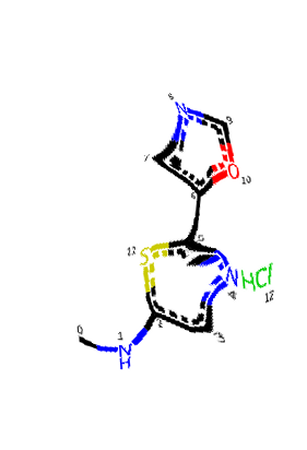 CNc1cnc(-c2cnco2)s1.Cl